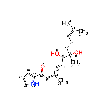 CC(C)=CCCC(C)(O)C(O)/C=C/C(C)=C\C(=O)c1ccc[nH]1